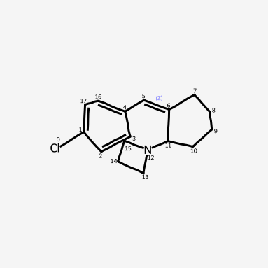 Clc1ccc(/C=C2/CCCCC2N2CCC2)cc1